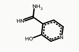 N=C(N)c1ccncc1O